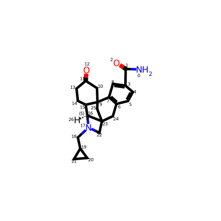 NC(=O)c1ccc2c(c1)C13CC(=O)CCC1[C@@H]1N(CC4CC4)CC1(C2)C3